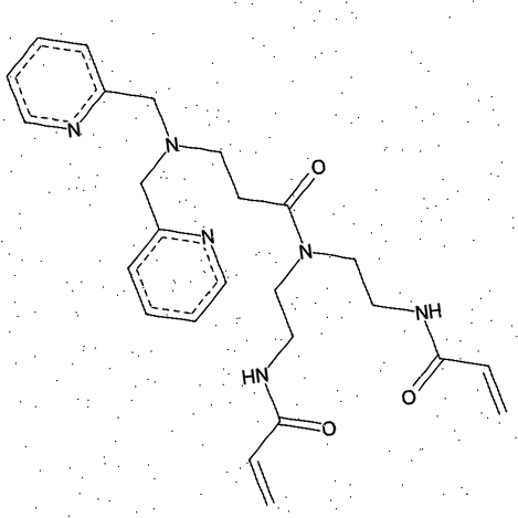 C=CC(=O)NCCN(CCNC(=O)C=C)C(=O)CCN(Cc1ccccn1)Cc1ccccn1